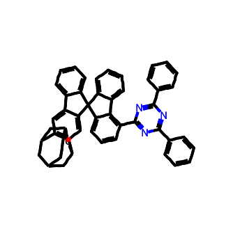 c1ccc(-c2nc(-c3ccccc3)nc(-c3cccc4c3-c3ccccc3C43c4ccccc4-c4cc5c(cc43)C3CC4CC(CC5C4)C3)n2)cc1